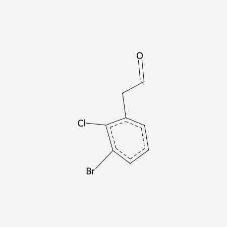 O=CCc1cccc(Br)c1Cl